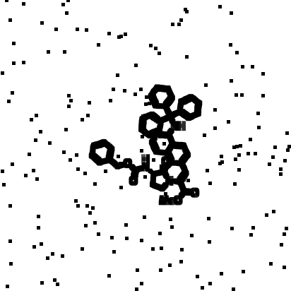 COC(=O)C(=Cc1ccc2c(NC(c3ccccc3)(c3ccccc3)c3ccccc3)nccc2c1F)N1CC[C@H](NC(=O)OCc2ccccc2)C1=O